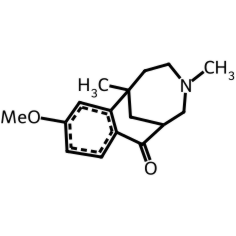 COc1ccc2c(c1)C1(C)CCN(C)CC(C1)C2=O